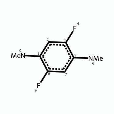 CNc1cc(F)c(NC)cc1F